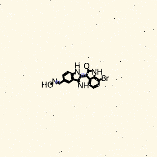 N=C1/C(=C2/C(=O)Nc3c(Br)cccc32)Nc2ccc(/C=N/O)cc21